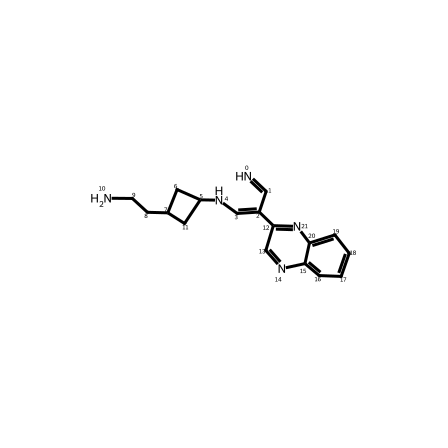 N=C/C(=C\NC1CC(CCN)C1)c1cnc2ccccc2n1